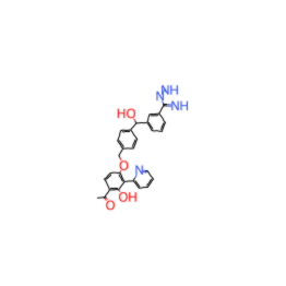 CC(=O)c1ccc(OCc2ccc(C(O)c3cccc(C(=N)N=N)c3)cc2)c(-c2ccccn2)c1O